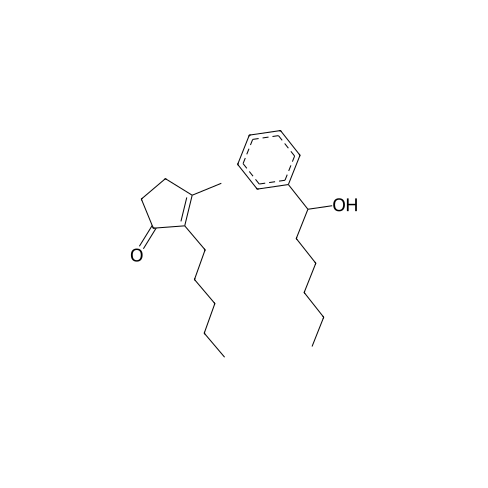 CCCCCC(O)c1ccccc1.CCCCCC1=C(C)CCC1=O